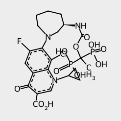 CC(OC(=O)N[C@@H]1CCCCN(c2c(F)cc3c(=O)c(C(=O)O)cn(C4CC4)c3c2Cl)C1)(P(=O)(O)O)P(=O)(O)O